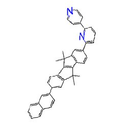 CC1(C)C2=C(c3ccc(-c4ccc5ccccc5c4)cc31)C(C)(C)c1cc(-c3cccc(-c4ccncc4)n3)ccc12